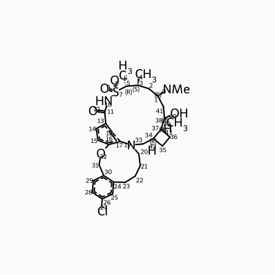 CN[C@@H]1C[C@H](C)[C@@H](C)S(=O)(=O)NC(=O)c2ccc3c(c2)N(CCCCc2cc(Cl)ccc2CO3)C[C@@H]2CC[C@H]2[C@@](C)(O)C1